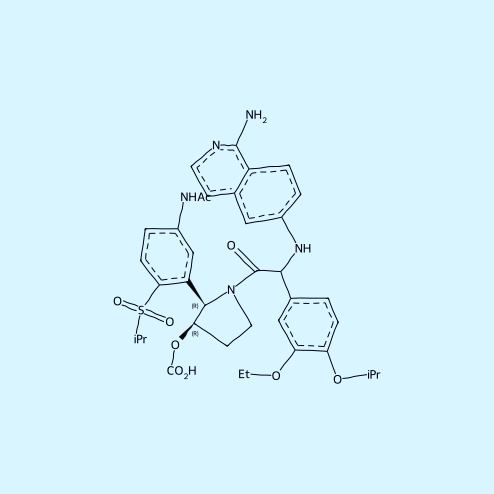 CCOc1cc(C(Nc2ccc3c(N)nccc3c2)C(=O)N2CC[C@@H](OC(=O)O)[C@H]2c2cc(NC(C)=O)ccc2S(=O)(=O)C(C)C)ccc1OC(C)C